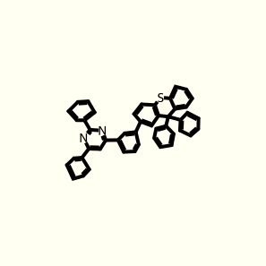 c1ccc(-c2cc(-c3cccc(-c4ccc5c(c4)C(c4ccccc4)(c4ccccc4)c4ccccc4S5)c3)nc(-c3ccccc3)n2)cc1